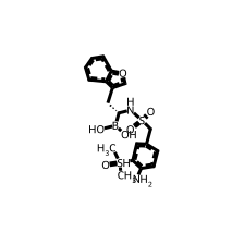 C[SH](C)(=O)c1cc(CS(=O)(=O)N[C@@H](Cc2coc3ccccc23)B(O)O)ccc1N